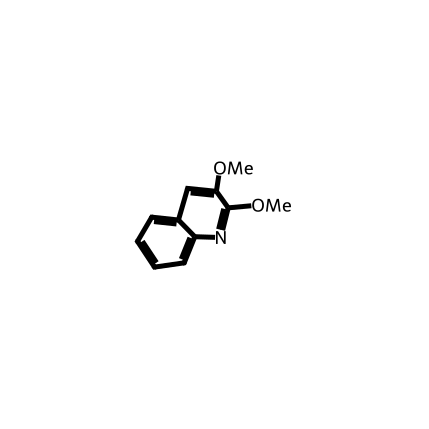 COc1cc2ccccc2nc1OC